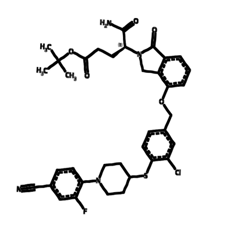 CC(C)(C)OC(=O)CC[C@@H](C(N)=O)N1Cc2c(OCc3ccc(SC4CCN(c5ccc(C#N)cc5F)CC4)c(Cl)c3)cccc2C1=O